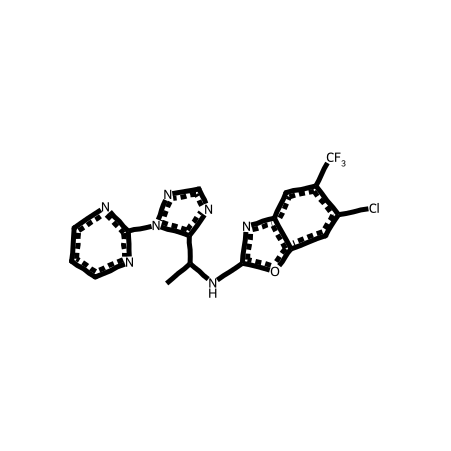 CC(Nc1nc2cc(C(F)(F)F)c(Cl)cc2o1)c1ncnn1-c1ncccn1